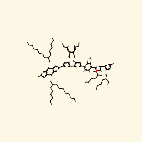 CCCCCCCCC(CCCCCC)COc1c2cc(-c3cc4c(s3)-c3sc(-c5c(F)c(F)c(-c6cc7c(s6)-c6sc(C)cc6[Si]7(CC(CC)CCCC)CC(CC)CCCC)c6nsnc56)cc3[Si]4(CC(CC)CCCC)CC(CC)CCCC)sc2c(OCC(CCCCCC)CCCCCCCC)c2cc(C)sc12